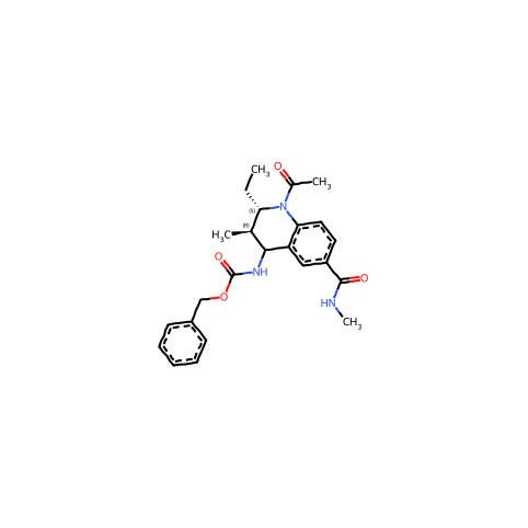 CC[C@H]1[C@H](C)C(NC(=O)OCc2ccccc2)c2cc(C(=O)NC)ccc2N1C(C)=O